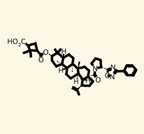 C=C(C)[C@@H]1CC[C@]2(C(=O)N3CCC[C@@H]3c3nc(-c4ccccc4)no3)CC[C@]3(C)[C@H](CC[C@@H]4[C@@]5(C)CC[C@H](OC(=O)C6CC(C(=O)O)C6(C)C)C(C)(C)[C@@H]5CC[C@]43C)[C@@H]12